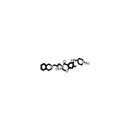 CC(=O)N1CCC(Nc2cc3c(cc2F)OCCN(C[C@H](O)CN2CCc4ccccc4C2)C3=O)CC1